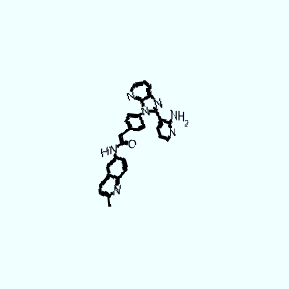 Cc1ccc2cc(NC(=O)Cc3ccc(-n4c(-c5cccnc5N)nc5cccnc54)cc3)ccc2n1